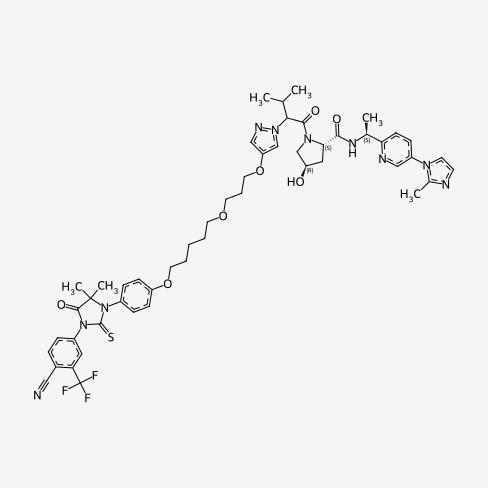 Cc1nccn1-c1ccc([C@H](C)NC(=O)[C@@H]2C[C@@H](O)CN2C(=O)C(C(C)C)n2cc(OCCCOCCCCCOc3ccc(N4C(=S)N(c5ccc(C#N)c(C(F)(F)F)c5)C(=O)C4(C)C)cc3)cn2)nc1